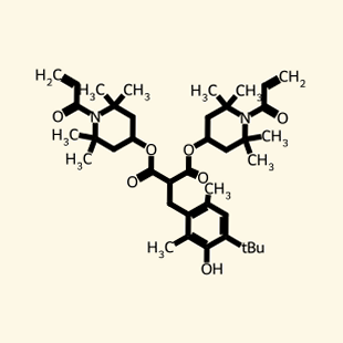 C=CC(=O)N1C(C)(C)CC(OC(=O)C(Cc2c(C)cc(C(C)(C)C)c(O)c2C)C(=O)OC2CC(C)(C)N(C(=O)C=C)C(C)(C)C2)CC1(C)C